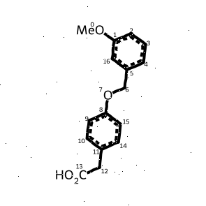 COc1cccc(COc2ccc(CC(=O)O)cc2)c1